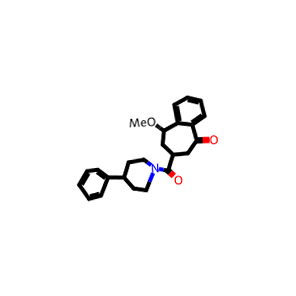 COC1CC(C(=O)N2CCC(c3ccccc3)CC2)CC(=O)c2ccccc21